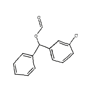 O=COC(c1ccccc1)c1cccc(Cl)c1